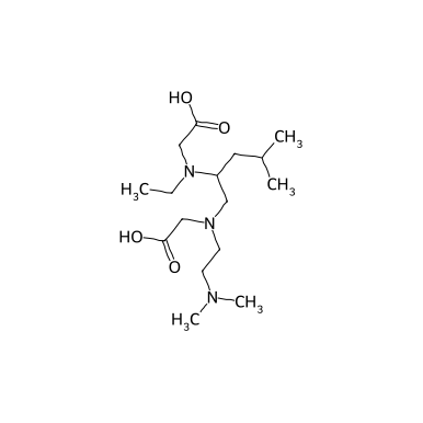 CCN(CC(=O)O)C(CC(C)C)CN(CCN(C)C)CC(=O)O